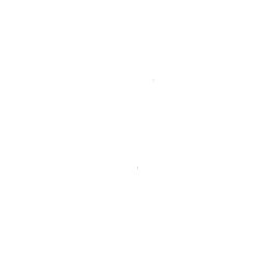 CCCCC[SiH2]c1ccccc1N(c1ccccc1C)C(C)C